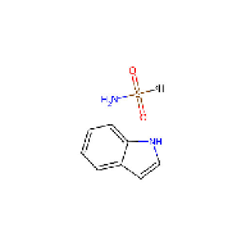 [2H]S(N)(=O)=O.c1ccc2[nH]ccc2c1